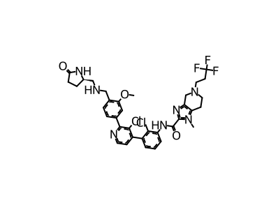 COc1cc(-c2nccc(-c3cccc(NC(=O)c4nc5c(n4C)CCN(CCC(F)(F)F)C5)c3Cl)c2Cl)ccc1CNC[C@H]1CCC(=O)N1